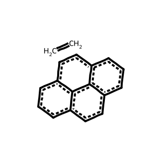 C=C.c1cc2ccc3cccc4ccc(c1)c2c34